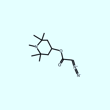 CN1C(C)(C)CC(OC(=O)C=[N+]=[N-])CC1(C)C